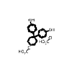 O=C(O)Cl.O=C(O)Cl.Oc1ccc(C2(c3ccc(O)cc3)CCCCC2)cc1